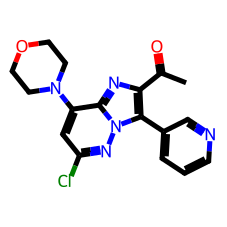 CC(=O)c1nc2c(N3CCOCC3)cc(Cl)nn2c1-c1cccnc1